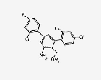 NCc1c(N)nc(-c2ccc(F)cc2Cl)nc1-c1ccc(Cl)cc1Cl